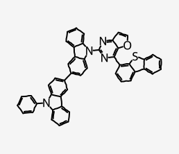 c1ccc(-n2c3ccccc3c3cc(-c4ccc5c(c4)c4ccccc4n5-c4nc(-c5cccc6c5sc5ccccc56)c5occc5n4)ccc32)cc1